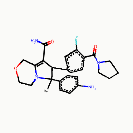 [2H]C1(c2ccc(N)cc2)C(c2ccc(C(=O)N3CCCC3)c(F)c2)C(C(N)=O)=C2COCCN21